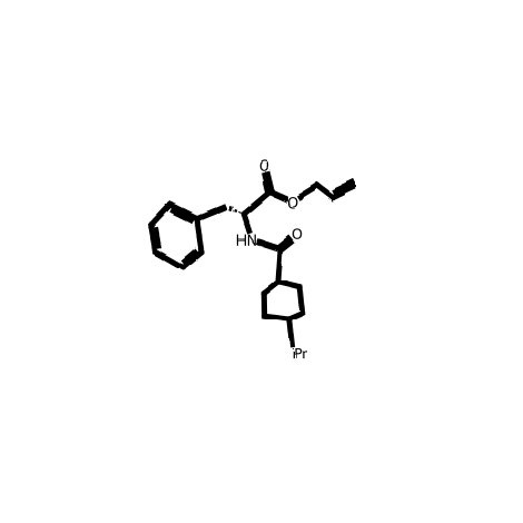 C=CCOC(=O)[C@@H](Cc1ccccc1)NC(=O)C1CCC(C(C)C)CC1